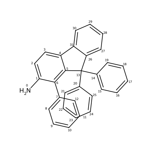 Nc1ccc2c(c1-c1ccccc1)C(c1ccccc1)(c1ccccc1)c1ccccc1-2